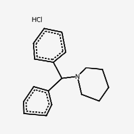 Cl.c1ccc(C(c2ccccc2)N2CCCCC2)cc1